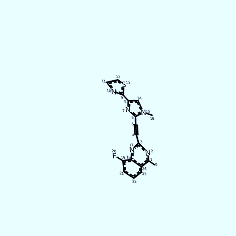 Cc1nc(C#Cc2nc(-c3nccs3)cn2C)nc2c(F)cccc12